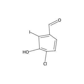 O=Cc1ccc(Cl)c(O)c1I